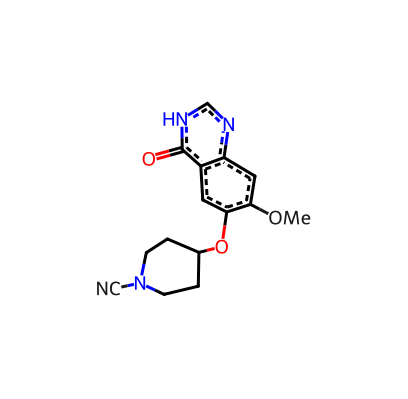 COc1cc2nc[nH]c(=O)c2cc1OC1CCN(C#N)CC1